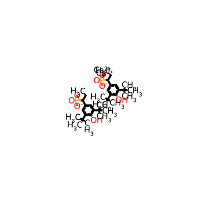 CCC(c1cc(C(C)(C)C)c(O)c(C(C)(C)C)c1)P(=O)([O-])[O-].CCC(c1cc(C(C)(C)C)c(O)c(C(C)(C)C)c1)P(=O)([O-])[O-].[Ca+2].[Ca+2]